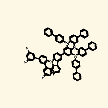 Fc1cc(F)cc(-c2ccc(-n3c4ccccc4c4cc(-c5cc6c7c(c5)N(c5ccc(-c8ccccc8)cc5)c5ccc(-c8ccccc8)cc5B7c5cc(-c7ccccc7)ccc5N6c5ccc(-c6ccccc6)cc5)ccc43)c(-c3cc(F)cc(F)c3)c2)c1